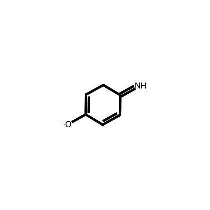 N=C1C=CC([O])=CC1